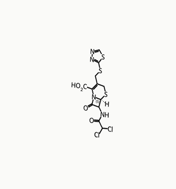 O=C(O)C1=C(CSc2nncs2)CS[C@H]2C(NC(=O)C(Cl)Cl)C(=O)N12